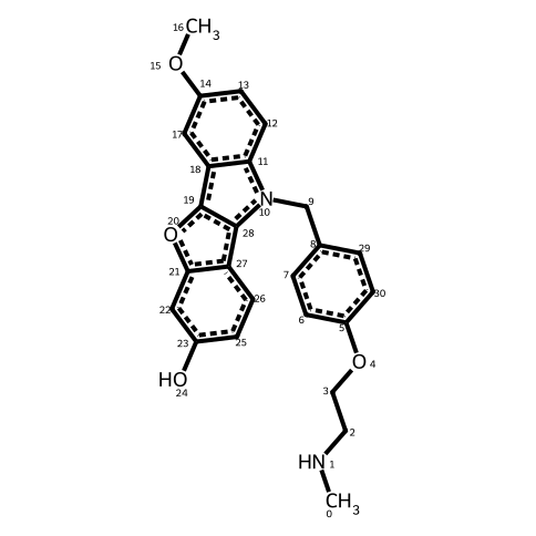 CNCCOc1ccc(Cn2c3ccc(OC)cc3c3oc4cc(O)ccc4c32)cc1